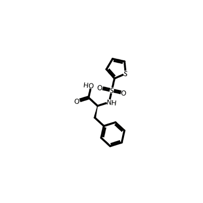 O=C(O)[C@H](Cc1ccccc1)NS(=O)(=O)c1cccs1